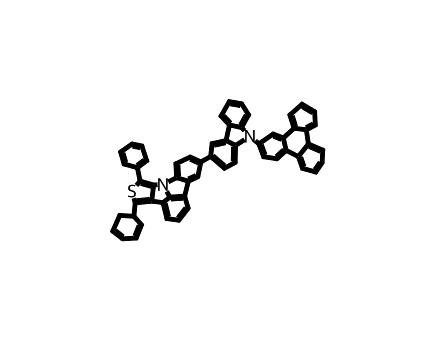 C1=CCC(c2sc(-c3ccccc3)c3c2c2cccc4c5cc(-c6ccc7c(c6)c6ccccc6n7-c6ccc7c8ccccc8c8ccccc8c7c6)ccc5n3c42)C=C1